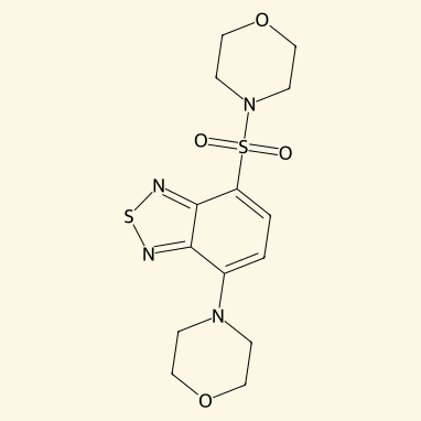 O=S(=O)(c1ccc(N2CCOCC2)c2nsnc12)N1CCOCC1